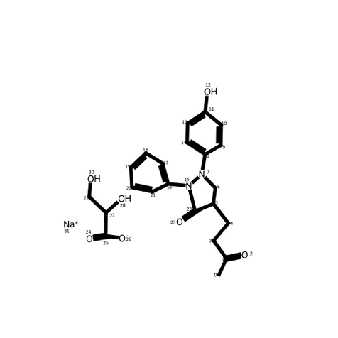 CC(=O)CCC1CN(c2ccc(O)cc2)N(c2ccccc2)C1=O.O=C([O-])C(O)CO.[Na+]